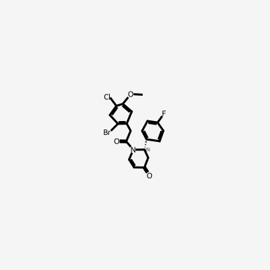 COc1cc(CC(=O)N2C=CC(=O)C[C@H]2c2ccc(F)cc2)c(Br)cc1Cl